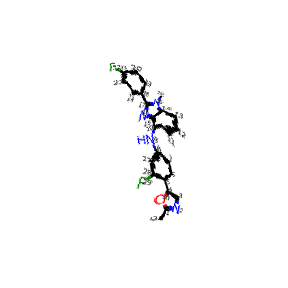 Cc1ncc(-c2ccc(Nc3cccc4c3nc(-c3ccc(F)cc3)n4C)cc2F)o1